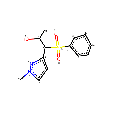 CC(O)C(c1ccn(C)n1)S(=O)(=O)c1ccccc1